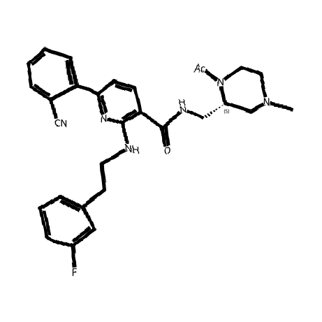 CC(=O)N1CCN(C)C[C@@H]1CNC(=O)c1ccc(-c2ccccc2C#N)nc1NCCc1cccc(F)c1